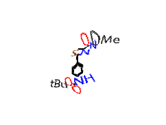 CON(C)C(=O)c1csc(-c2ccc(NC(=O)OC(C)(C)C)cc2)n1